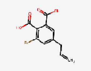 C=CCc1cc(Br)c(C(=O)O)c(C(=O)O)c1